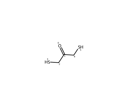 O=C(CS)CS